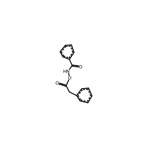 O=C(Cc1ccccc1)ONC(=O)c1ccccc1